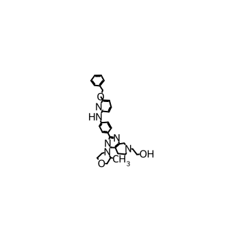 CC1COCCN1c1nc(-c2ccc(Nc3cccc(OCc4ccccc4)n3)cc2)nc2c1CCN(CCO)C2